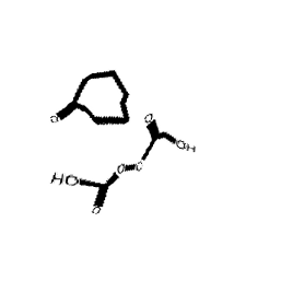 O=C(O)OOC(=O)O.O=C1CCCCC1